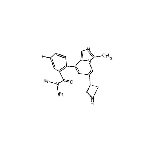 Cc1ncc2c(-c3ccc(F)cc3C(=O)N(C(C)C)C(C)C)cc(C3CNC3)cn12